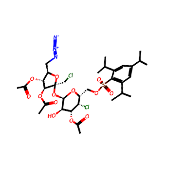 CC(=O)O[C@@H]1[C@@H](O)[C@@H](O[C@]2(CCl)O[C@H](CN=[N+]=[N-])[C@@H](OC(C)=O)[C@@H]2OC(C)=O)O[C@H](COS(=O)(=O)c2c(C(C)C)cc(C(C)C)cc2C(C)C)[C@@H]1Cl